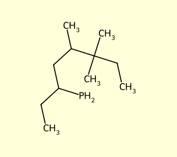 CCC(P)CC(C)C(C)(C)CC